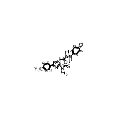 NC=S.O=C(Cn1nnc(-c2ccc(C(F)(F)F)cc2)n1)NNc1ccc(Cl)cc1